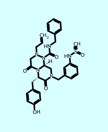 C#S(=O)Nc1cccc(CN2C[C@H]3N(C(=O)CN(CC=C)N3C(=O)NCc3ccccc3)[C@@H](Cc3ccc(O)cc3)C2=O)c1